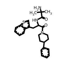 CC(C)(N)C(=O)NC(Cc1csc2ccccc12)C(=O)N1CCC(c2ccccc2)CC1